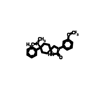 CN(C)[C@]1(c2ccccc2)CC[C@@]2(CC1)CN(c1cccc(OC(F)(F)F)c1)C(=O)N2